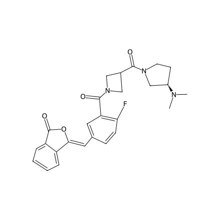 CN(C)[C@@H]1CCN(C(=O)C2CN(C(=O)c3cc(/C=C4\OC(=O)c5ccccc54)ccc3F)C2)C1